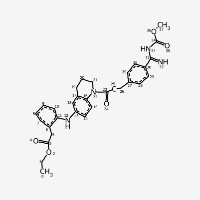 CCOC(=O)Cc1ccccc1Nc1ccc2c(c1)CCCN2C(=O)CCc1ccc(C(=N)NC(=O)OC)cc1